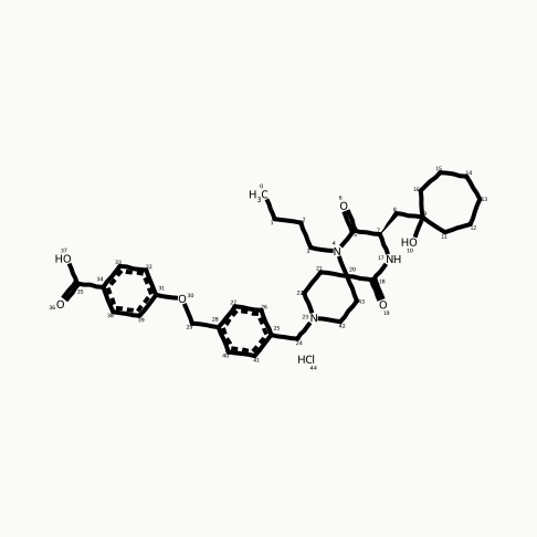 CCCCN1C(=O)[C@@H](CC2(O)CCCCCC2)NC(=O)C12CCN(Cc1ccc(COc3ccc(C(=O)O)cc3)cc1)CC2.Cl